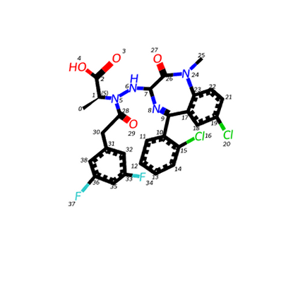 C[C@@H](C(=O)O)N(NC1N=C(c2ccccc2Cl)c2cc(Cl)ccc2N(C)C1=O)C(=O)Cc1cc(F)cc(F)c1